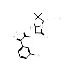 CO/N=C(\C(=O)N[C@H]1C(=O)N2[C@@H]1SC(C)(C)[C@@H]2C(=O)O)c1cccc(C(F)(F)F)c1